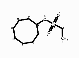 CCS(=O)(=O)OC1CCCCCCC1